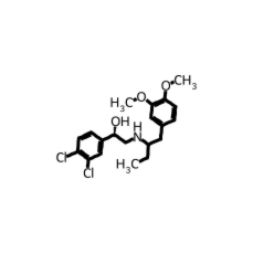 CCC(Cc1ccc(OC)c(OC)c1)NC[C@H](O)c1ccc(Cl)c(Cl)c1